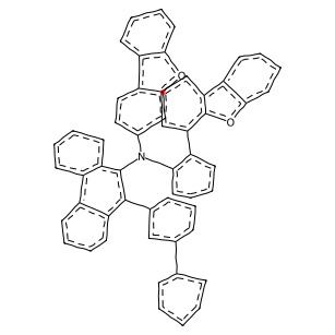 c1ccc(-c2cccc(-c3c(N(c4ccc5c(c4)oc4ccccc45)c4ccccc4-c4cccc5c4oc4ccccc45)c4ccccc4c4ccccc34)c2)cc1